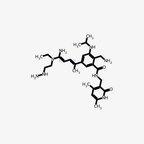 CCN(CCNN)/C(N)=C/C=C(\C)c1cc(NC(C)C)c(CN)c(C(=O)NCc2c(C)cc(C)[nH]c2=O)c1